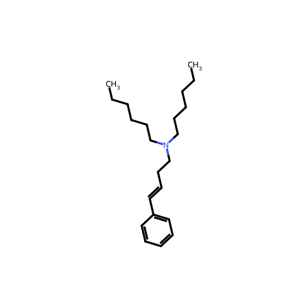 CCCCCCN(CCC=Cc1ccccc1)CCCCCC